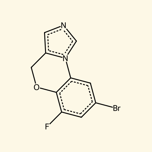 Fc1cc(Br)cc2c1OCc1cncn1-2